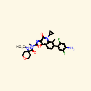 Cc1c(-c2cc(F)c(N)cc2F)ccc2c3oc(N(C)C(=O)C4(NC(=O)O)CCOCC4)nc3c(=O)n(C3CC3)c12